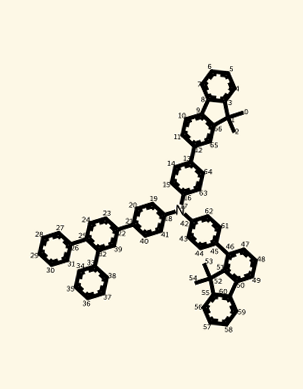 CC1(C)c2ccccc2-c2ccc(-c3ccc(N(c4ccc(-c5ccc(-c6ccccc6)c(-c6ccccc6)c5)cc4)c4ccc(-c5cccc6c5C(C)(C)c5ccccc5-6)cc4)cc3)cc21